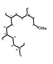 COCCN(C)CCC(C)CCC(C)CCN(C)C